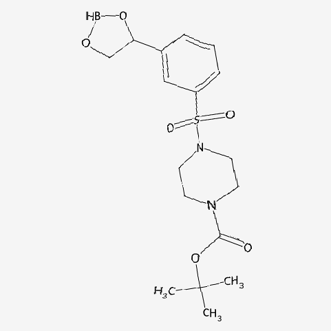 CC(C)(C)OC(=O)N1CCN(S(=O)(=O)c2cccc(C3COBO3)c2)CC1